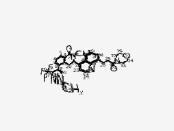 CN1C(=O)c2cccc(-c3cn(C)nc3C(F)(F)F)c2CC1c1ccnc2c(CCC(=O)N3CCOCC3)cccc12